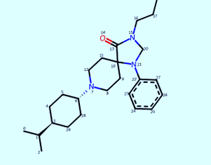 CC(C)[C@H]1CC[C@H](N2CCC3(CC2)C(=O)N(CCCN)CN3c2ccccc2)CC1